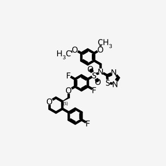 COc1ccc(CN(c2ncns2)S(=O)(=O)c2cc(F)c(OC[C@@H]3COCCC3c3ccc(F)cc3)cc2F)c(OC)c1